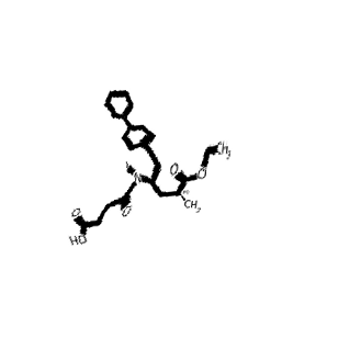 CCOC(=O)[C@H](C)CC(Cc1ccc(-c2ccccc2)cc1)N(I)C(=O)CCC(=O)O